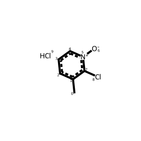 Cc1ccc[n+]([O-])c1Cl.Cl